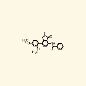 COc1ccc(-c2ccc(NC(=O)c3ccccc3)c3c2CNC3=O)c(OC)c1